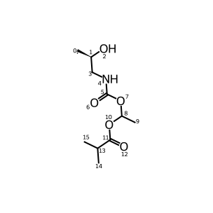 [CH2][C@@H](O)CNC(=O)OC(C)OC(=O)C(C)C